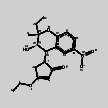 CCOC1=CC(=O)N([C@@H]2c3cc([N+](=O)[O-])ccc3OC(C)(CC)[C@H]2O)C1